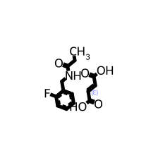 CCC(=O)NCc1ccccc1F.O=C(O)/C=C/C(=O)O